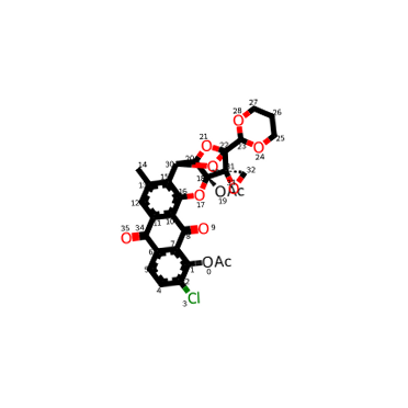 CC(=O)Oc1c(Cl)ccc2c1C(=O)c1c(cc(C)c3c1O[C@]1(OC(C)=O)C4OC(C5OCCCO5)(OC34)[C@]13CO3)C2=O